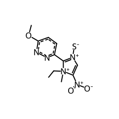 CC[N+]1(C)C([N+](=O)[O-])=C[N+]([S-])=C1c1ccc(OC)nn1